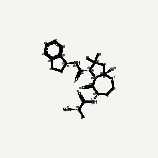 CN[C@@H](C)C(=O)N[C@H]1CCS[C@H]2CC(C)(C)[C@@H](C(=O)N[C@H]3CCc4ccccc43)N2C1=O